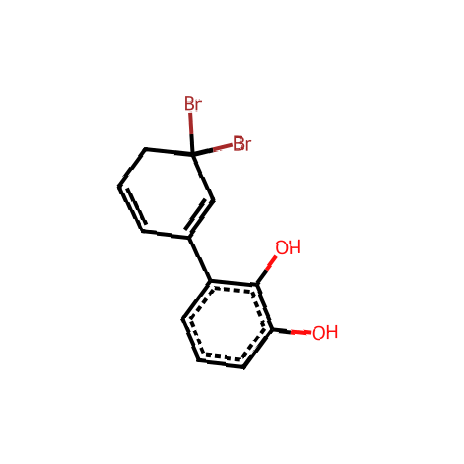 Oc1cccc(C2=CC(Br)(Br)CC=C2)c1O